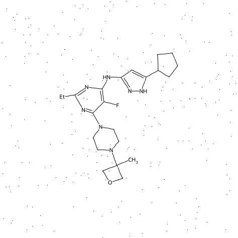 CCc1nc(Nc2cc(C3CCCC3)[nH]n2)c(F)c(N2CCN(C3(C)COC3)CC2)n1